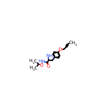 CC#CCOc1ccc(CC(N)C(=O)NOC(C)C)cc1